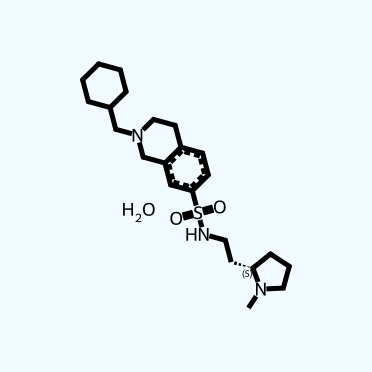 CN1CCC[C@H]1CCNS(=O)(=O)c1ccc2c(c1)CN(CC1CCCCC1)CC2.O